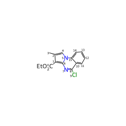 CCOC(=O)c1c(C)cn2c1nc(Cl)c1ccccc12